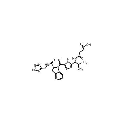 CC(C)C(NC(=O)CCC(=O)O)c1ccc(C(=O)N2c3ccccc3C[C@H]2C(=O)NCc2nn[nH]n2)[nH]1